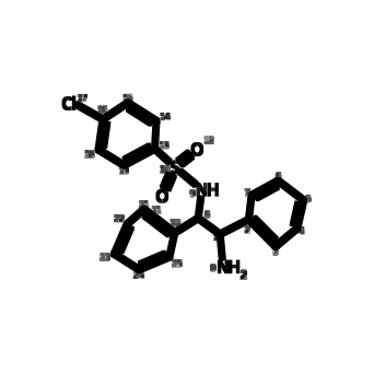 NC(c1ccccc1)C(NS(=O)(=O)c1ccc(Cl)cc1)c1ccccc1